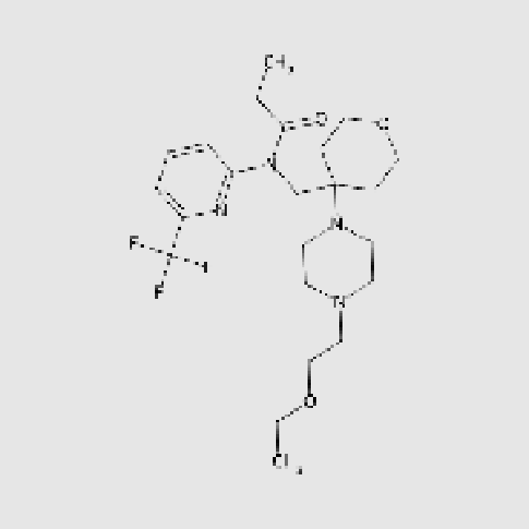 CCOCCN1CCN(C2(CN(C(=O)CC)c3cccc(C(F)(F)F)n3)CCOCC2)CC1